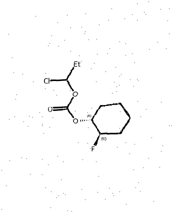 CCC(Cl)OC(=O)O[C@@H]1CCCC[C@H]1F